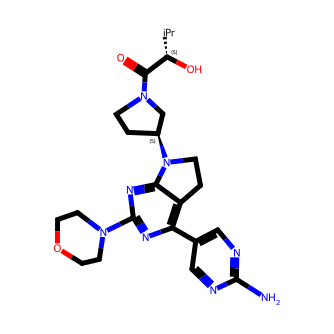 CC(C)[C@H](O)C(=O)N1CC[C@H](N2CCc3c(-c4cnc(N)nc4)nc(N4CCOCC4)nc32)C1